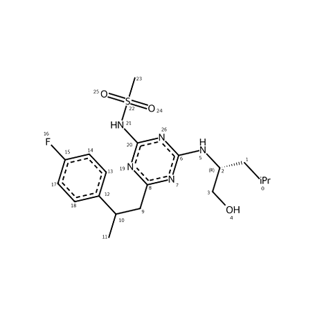 CC(C)C[C@H](CO)Nc1nc(CC(C)c2ccc(F)cc2)nc(NS(C)(=O)=O)n1